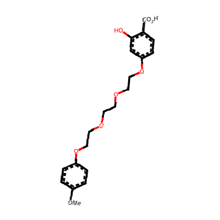 COc1ccc(OCCOCCOCCOc2ccc(C(=O)O)c(O)c2)cc1